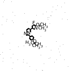 CC(C)Oc1ncc(-c2ccc3ncc(-c4ccc(OC(C)(C)C)cc4)n3c2)cc1F